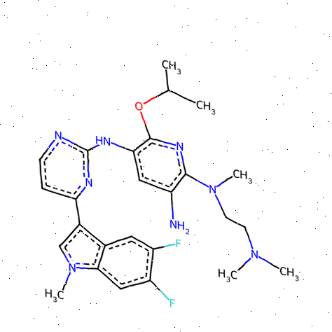 CC(C)Oc1nc(N(C)CCN(C)C)c(N)cc1Nc1nccc(-c2cn(C)c3cc(F)c(F)cc23)n1